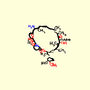 CO[C@@H]1C[C@H](C[C@@H](C)[C@@H]2CC[C@H](C)/C=C(\C)[C@@H](O)[C@@H](OC)C(=O)[C@H](C)C[C@H](C)/C=C/C=C/C=C(\C)[C@H](N)C[C@@H]3CC[C@@H](C)[C@@](O)(O3)C(=O)C(=O)N3CCCC[C@H]3C(=O)O2)CC[C@H]1O